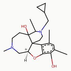 Cc1cc(C)c2c(c1O)O[C@H]1CN(C)CCC3(O)C(C)N(CC4CC4)CCC213